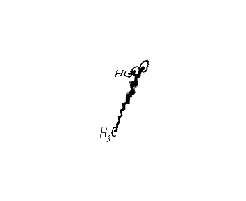 CCCCCCCCCCCC/C=C/C1=CC(=O)OC1O